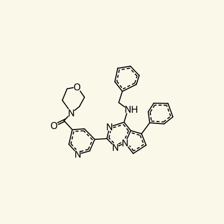 O=C(c1cncc(-c2nc(NCc3ccccc3)c3c(-c4ccccc4)ccn3n2)c1)N1CCOCC1